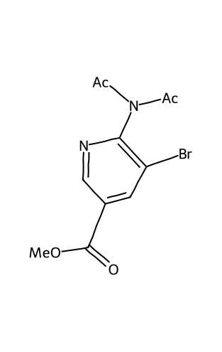 COC(=O)c1cnc(N(C(C)=O)C(C)=O)c(Br)c1